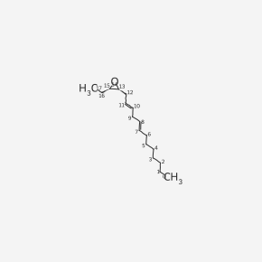 CCCCCCCC=CCC=CC[C@@H]1O[C@@H]1CC